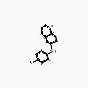 Brc1ccc(Nc2ccc3ncccc3c2)cc1